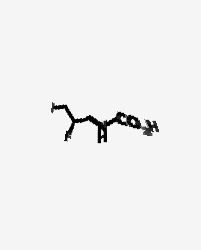 O=C(O)NC[C@@H](F)CI